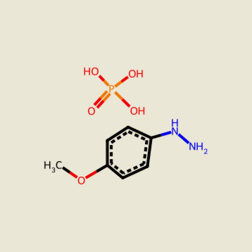 COc1ccc(NN)cc1.O=P(O)(O)O